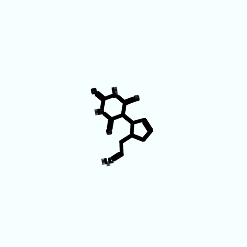 C=CCC1CC=CC1C1C(=O)NC(=O)NC1=O